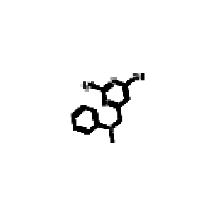 CN(Cc1cc(O)nc(N)n1)c1ccccc1